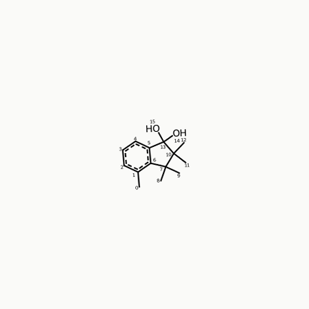 Cc1cccc2c1C(C)(C)C(C)(C)C2(O)O